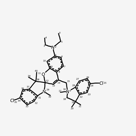 CCN(CC)c1ccc2c(c1)OC1(C=C2C[N+]2(C)CC(C)(C)c3cc(Cl)ccc32)N(C)c2ccc(Cl)cc2C1(C)C